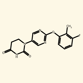 Cc1c(F)cccc1Oc1ncc(N2CCC(=O)NC2=O)cn1